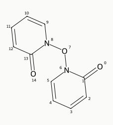 O=c1ccccn1On1ccccc1=O